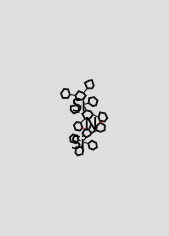 c1ccc(-c2cc(-c3ccccc3)cc([Si](c3ccccc3)(c3ccccc3)c3cc(-c4ccccc4)c(-n4c5ccccc5c5cc([Si](c6ccccc6)(c6ccccc6)c6ccccc6)ccc54)c(-c4ccccc4)c3)c2)cc1